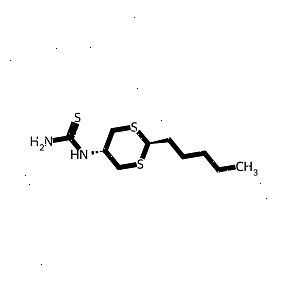 CCCCC[C@H]1SC[C@H](NC(N)=S)CS1